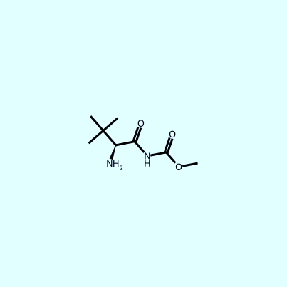 COC(=O)NC(=O)[C@@H](N)C(C)(C)C